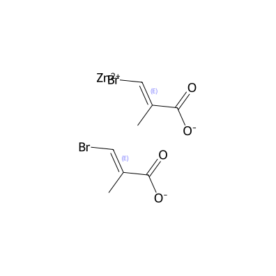 C/C(=C\Br)C(=O)[O-].C/C(=C\Br)C(=O)[O-].[Zn+2]